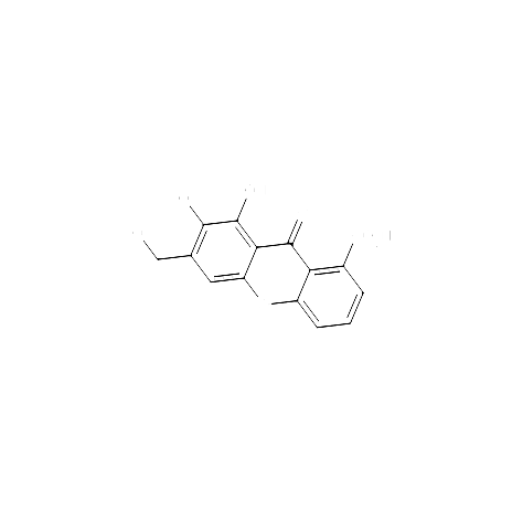 O=C(O)c1cccc2oc3cc(CO)c(O)c(O)c3c(=O)c12